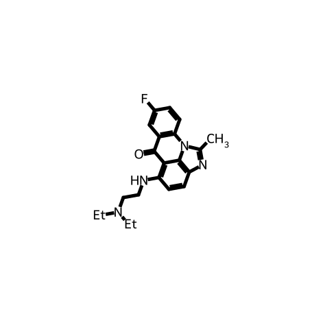 CCN(CC)CCNc1ccc2nc(C)n3c4ccc(F)cc4c(=O)c1c23